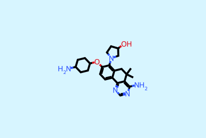 CC1(C)Cc2c(ccc(OC3CCC(N)CC3)c2N2CCC(O)C2)-c2ncnc(N)c21